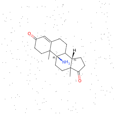 CC12CC[C@@]3(N)C(CCC4=CC(=O)CCC43C)[C@@H]1CCC2=O